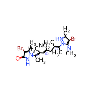 C=NC1=C(Br)C(=C)NN1/C(C)=C(\C)C/C(=C/C(C)=C(\C)n1[nH]c(=O)c(Br)c1C)[N+](=O)[O-]